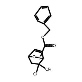 N#CC1(Cl)CC2C=CC1N(C(=O)OCc1ccccc1)C2